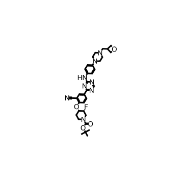 CC(C)(C)OC(=O)N1CC[C@H](Oc2ccc(-c3ncnc(Nc4ccc(N5CCN(CC6COC6)CC5)cc4)n3)cc2C#N)[C@H](F)C1